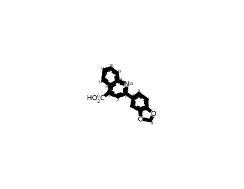 O=C(O)c1cc(-c2ccc3c(c2)OCO3)nc2ccccc12